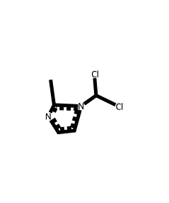 Cc1nccn1C(Cl)Cl